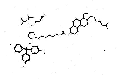 COc1ccc(C(OC[C@@H]2C[C@@H](OP(OCCC#N)N(C(C)C)C(C)C)CN2CCCCCCNC(=O)O[C@H]2CC[C@@]3(C)C(=CCC4C3CC[C@@]3(C)C4CC[C@@H]3[C@H](C)CCCC(C)C)C2)(c2ccccc2)c2ccc(OC)cc2)cc1